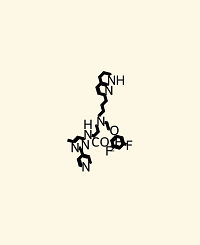 Cc1cc(N[C@@H](CCN(CCCCc2ccc3c(n2)NCCC3)CCOc2cc(F)cc(F)c2)C(=O)O)nc(-c2ccncc2)n1